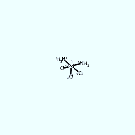 [NH2][Pd]([NH2])([Cl])([Cl])[Cl]